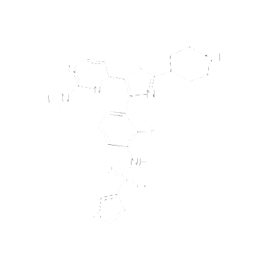 Nc1nccc(-c2sc(C3CCNCC3)nc2-c2cccc(NS(=O)(=O)c3ccoc3)c2F)n1